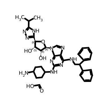 CC(C)c1nnc([C@H]2O[C@@H](n3cnc4c(NCC(c5ccccc5)c5ccccc5)nc(NC5CCC(N)CC5)nc43)[C@H](O)[C@@H]2O)[nH]1.O=CO